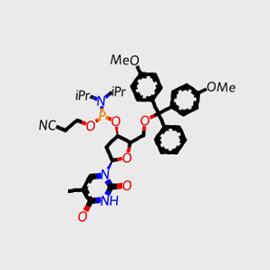 COc1ccc(C(OCC2O[C@@H](n3cc(C)c(=O)[nH]c3=O)C[C@H]2OP(OCCC#N)N(C(C)C)C(C)C)(c2ccccc2)c2ccc(OC)cc2)cc1